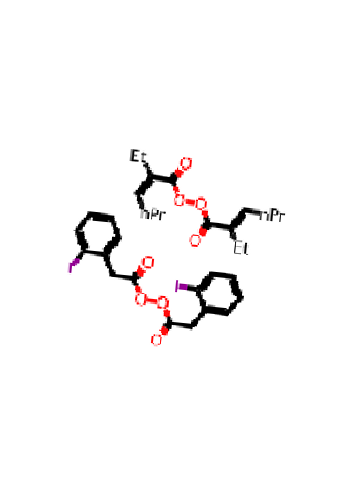 CCCC=C(CC)C(=O)OOC(=O)C(=CCCC)CC.O=C(Cc1ccccc1I)OOC(=O)Cc1ccccc1I